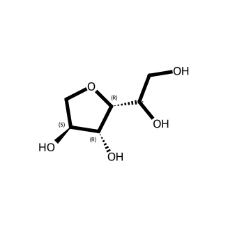 OC[C](O)[C@H]1OC[C@H](O)[C@H]1O